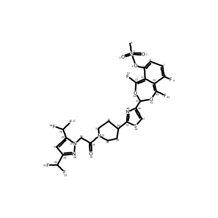 CS(=O)(=O)Oc1ccc(F)c2c1=C(F)OC(c1csc(C3CCN(C(=O)Cn4nc(C(F)F)cc4C(F)F)CC3)n1)OC=2F